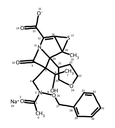 CC(=O)N(CC1(C(C)O)C(=O)N2C(C(=O)[O-])=C3SC3(C)C21C1CCOC1)OCc1ccccc1.[Na+]